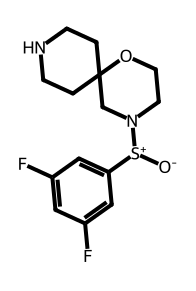 [O-][S+](c1cc(F)cc(F)c1)N1CCOC2(CCNCC2)C1